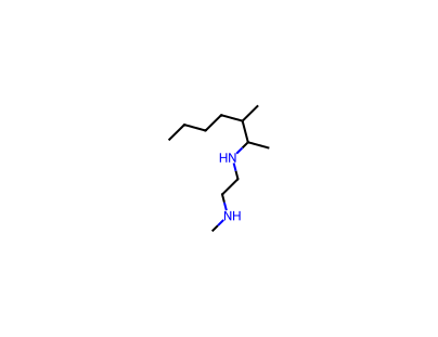 CCCCC(C)C(C)NCCNC